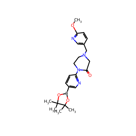 COc1ccc(CN2CCN(c3ccc(B4OC(C)(C)C(C)(C)O4)cn3)C(=O)C2)cn1